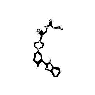 CC(C)(C)OC(=O)NCC(=O)N1CCN(c2ccc(F)c(-c3nc4ccccc4[nH]3)c2)CC1